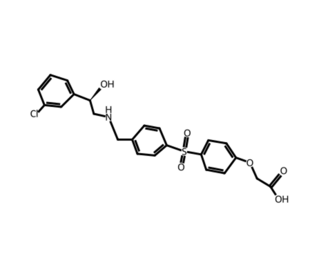 O=C(O)COc1ccc(S(=O)(=O)c2ccc(CNC[C@H](O)c3cccc(Cl)c3)cc2)cc1